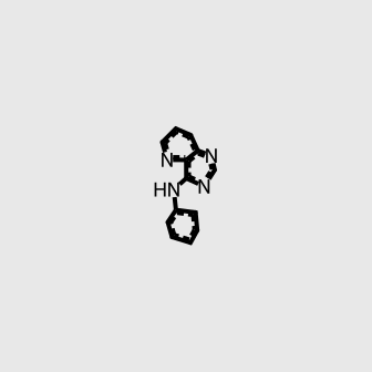 c1ccc(Nc2ncnc3cccnc23)cc1